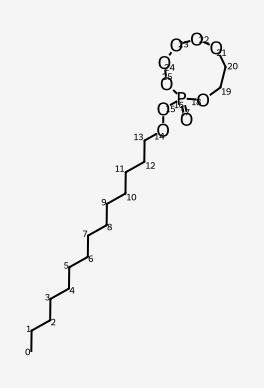 CCCCCCCCCCCCCCOOP1(=O)OCCOOOOO1